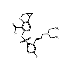 CCN(CC)CC=Cc1cc(F)ccc1S(=O)(=O)Nc1ccc2c(c1C(=O)O)OCC1CC21